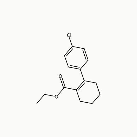 CCOC(=O)C1=C(c2ccc(Cl)cc2)CCCC1